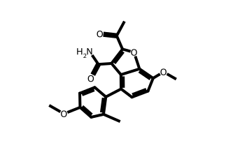 COc1ccc(-c2ccc(OC)c3oc(C(C)=O)c(C(N)=O)c23)c(C)c1